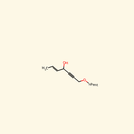 C/C=C/C(O)C#CCOCCCCC